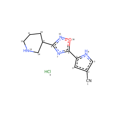 Cl.N#Cc1c[nH]c(-c2nc(C3CCCNC3)no2)c1